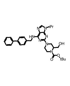 CC(C)n1cnc2c(NCc3ccc(-c4ccccc4)cc3)nc(N3CCN(C(=O)OC(C)(C)C)C(CO)C3)nc21